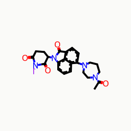 CC(=O)N1CCCN(c2ccc3c4c(cccc24)N(C2CCC(=O)N(I)C2=O)C3=O)CC1